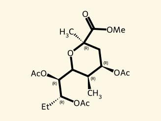 CC[C@@H](OC(C)=O)[C@@H](OC(C)=O)C1O[C@@](C)(C(=O)OC)C[C@@H](OC(C)=O)[C@H]1C